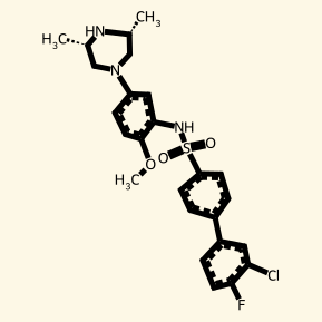 COc1ccc(N2C[C@@H](C)N[C@@H](C)C2)cc1NS(=O)(=O)c1ccc(-c2ccc(F)c(Cl)c2)cc1